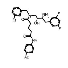 CCc1cccc(CN(C[C@@H](O)[C@@H](N)Cc2cc(F)cc(F)c2)C(=O)CCCC(=O)Nc2ccc(C(C)=O)cc2)c1